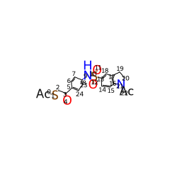 CC(=O)SCC(=O)c1ccc(NS(=O)(=O)c2ccc3c(c2)CCN3C(C)=O)cc1